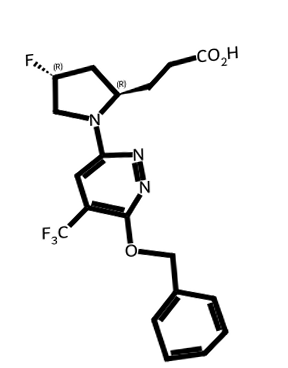 O=C(O)CC[C@@H]1C[C@@H](F)CN1c1cc(C(F)(F)F)c(OCc2ccccc2)nn1